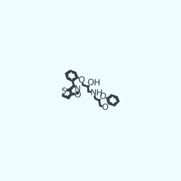 OC(CNCC1COc2ccccc2O1)COc1ccccc1-c1noc2ccsc12